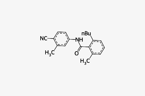 CCCCc1cccc(C)c1C(=O)Nc1ccc(C#N)c(C)c1